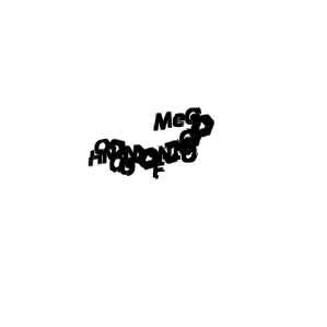 COc1cccc(CS(=O)(=O)N2CCN(c3cc4c(cc3F)C(=O)N(C3CCC(=O)NC3=O)C4)CC2)c1